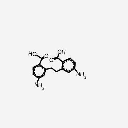 Nc1ccc(C(=O)O)c(CCc2cc(N)ccc2C(=O)O)c1